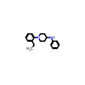 CCc1ccccc1N1CCC(Nc2ccccc2)CC1